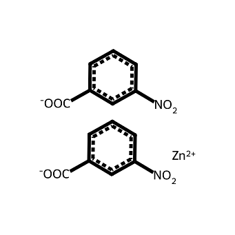 O=C([O-])c1cccc([N+](=O)[O-])c1.O=C([O-])c1cccc([N+](=O)[O-])c1.[Zn+2]